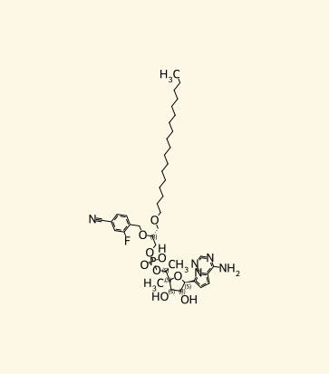 CCCCCCCCCCCCCCCCCCOC[C@H](COP(=O)(O)O[C@@H](C)[C@@]1(C)O[C@@H](c2ccc3c(N)ncnn23)[C@H](O)[C@@H]1O)OCc1ccc(C#N)cc1F